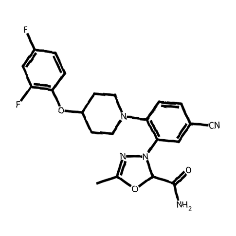 CC1=NN(c2cc(C#N)ccc2N2CCC(Oc3ccc(F)cc3F)CC2)C(C(N)=O)O1